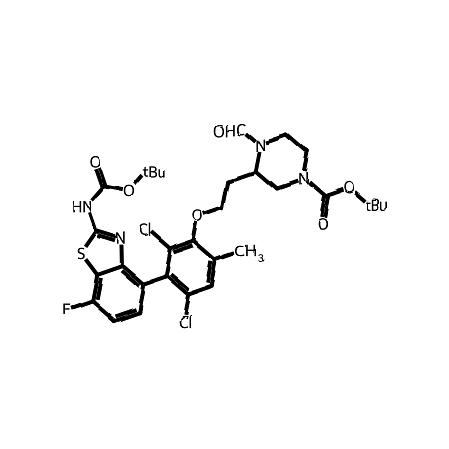 Cc1cc(Cl)c(-c2ccc(F)c3sc(NC(=O)OC(C)(C)C)nc23)c(Cl)c1OCCC1CN(C(=O)OC(C)(C)C)CCN1C=O